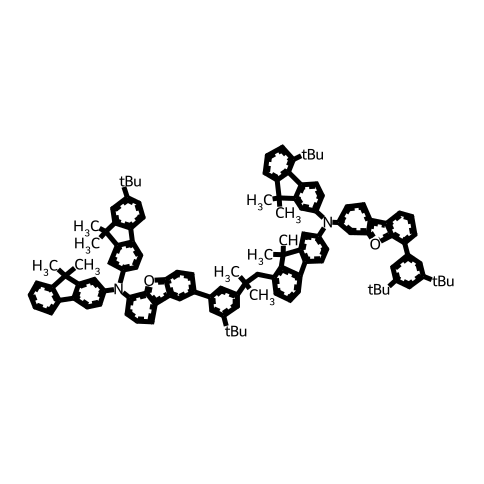 CC(C)(C)c1cc(-c2cccc3c2oc2cc(N(c4ccc5c(c4)C(C)(C)c4cccc(C(C)(C)C)c4-5)c4ccc5c(c4)C(C)(C)c4c(CC(C)(C)c6cc(-c7ccc8oc9c(N(c%10ccc%11c(c%10)C(C)(C)c%10ccccc%10-%11)c%10ccc%11c(c%10)C(C)(C)c%10cc(C(C)(C)C)ccc%10-%11)cccc9c8c7)cc(C(C)(C)C)c6)cccc4-5)ccc23)cc(C(C)(C)C)c1